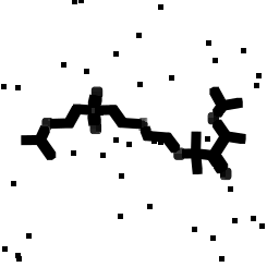 CC(C)OCCS(=O)(=O)CCSCCOC(C)(C)C(=O)C(C)OC(C)C